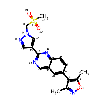 Cc1noc(C)c1-c1ccc2nc(-c3cnn(CS(C)(=O)=O)c3)ncc2c1